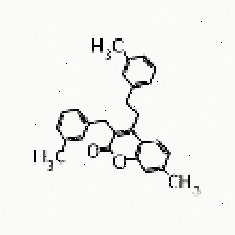 Cc1cccc(CCc2c(Cc3cccc(C)c3)c(=O)oc3cc(C)ccc23)c1